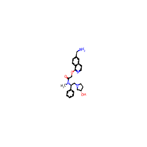 CN(C(=O)COc1nccc2cc(CN)ccc12)C(CN1CC[C@H](O)C1)c1ccccc1